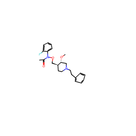 CO[C@@H]1CN(CCc2ccccc2)CC[C@H]1CON(C(C)=O)c1ccccc1F